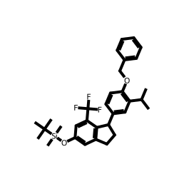 CC(C)c1cc(C2CCc3cc(O[Si](C)(C)C(C)(C)C)cc(C(F)(F)F)c32)ccc1OCc1ccccc1